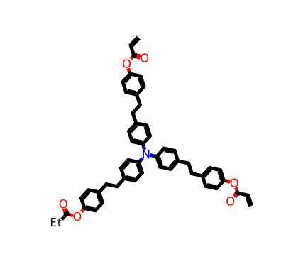 C=CC(=O)Oc1ccc(CCc2ccc(N(c3ccc(CCc4ccc(OC(=O)C=C)cc4)cc3)c3ccc(CCc4ccc(OC(=O)CC)cc4)cc3)cc2)cc1